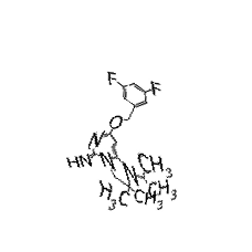 CC(C)N1c2cc(OCc3cc(F)cc(F)c3)nc(=N)n2CC1(C)C